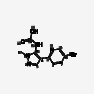 Cn1ncc(-c2ccc(Br)cn2)c1NC(=O)O